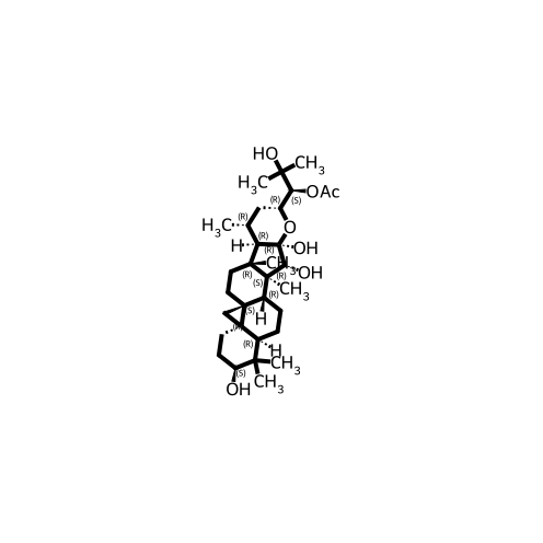 CC(=O)O[C@@H]([C@H]1C[C@@H](C)[C@H]2[C@@](O)(O1)[C@H](O)[C@@]1(C)[C@@H]3CC[C@H]4C(C)(C)[C@@H](O)CC[C@@]45C[C@@]35CC[C@]21C)C(C)(C)O